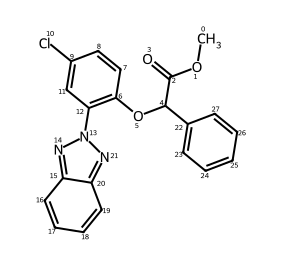 COC(=O)C(Oc1ccc(Cl)cc1-n1nc2ccccc2n1)c1ccccc1